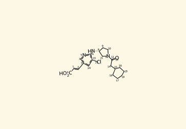 O=C(O)/C=C/c1cnc(N[C@@H]2CCN(C(=O)CC3CCCCC3)C2)c(Cl)c1